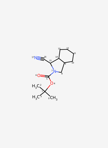 CC(C)(C)OC(=O)N1CC2CCCCC2C1C#N